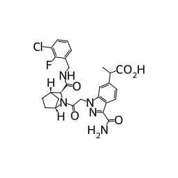 CC(C(=O)O)c1ccc2c(C(N)=O)nn(CC(=O)N3[C@@H]4CC[C@@H](C4)[C@H]3C(=O)NCc3cccc(Cl)c3F)c2c1